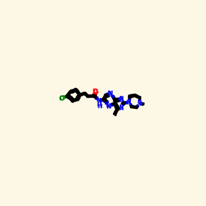 Cc1nc(N2CCCN(C)CC2)nc2ncc(NC(=O)CCc3ccc(Cl)cc3)nc12